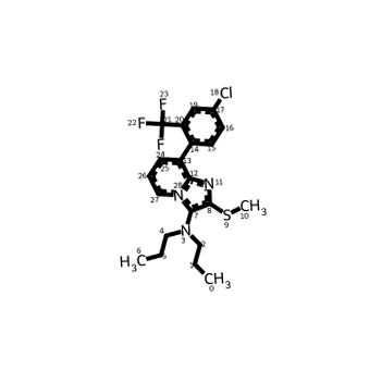 CCCN(CCC)c1c(SC)nc2c(-c3ccc(Cl)cc3C(F)(F)F)cccn12